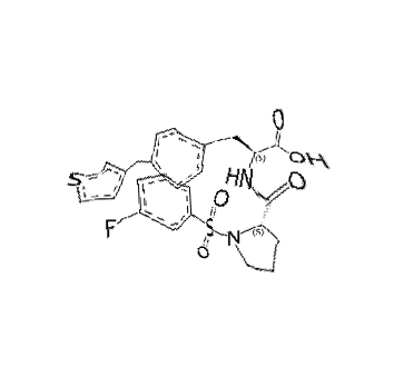 O=C(O)[C@H](Cc1ccc(-c2ccsc2)cc1)NC(=O)[C@@H]1CCCN1S(=O)(=O)c1cccc(F)c1